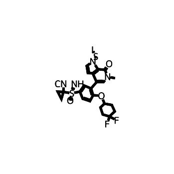 Cn1cc(-c2cc(S(=N)(=O)C3(C#N)CC3)ccc2OC2CCC(F)(F)CC2)c2ccn(SI)c2c1=O